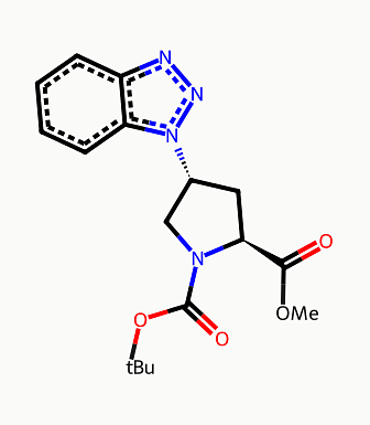 COC(=O)[C@@H]1C[C@@H](n2nnc3ccccc32)CN1C(=O)OC(C)(C)C